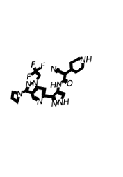 N#CC(C(=O)Nc1c[nH]nc1-c1cc2c(cn1)c(N1CCC1)nn2CC(F)(F)F)C1CCNCC1